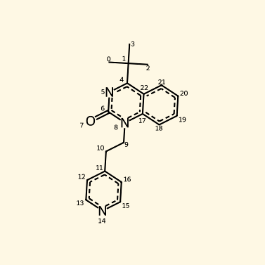 CC(C)(C)c1nc(=O)n(CCc2ccncc2)c2ccccc12